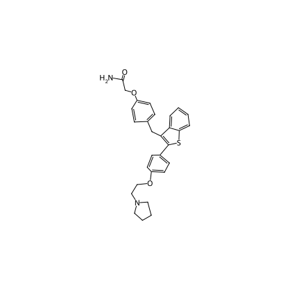 NC(=O)COc1ccc(Cc2c(-c3ccc(OCCN4CCCC4)cc3)sc3ccccc23)cc1